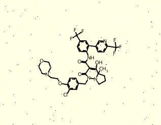 CC12CCCN1N(Cc1ccc(OCCN3CCOCC3)c(Cl)c1)C(=O)C(C(=O)Nc1ccc(C(F)(F)F)cc1-c1ccc(C(F)(F)F)nc1)=C2O